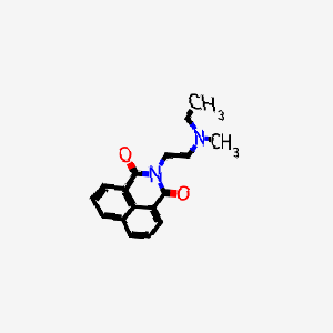 CCN(C)CCN1C(=O)c2cccc3cccc(c23)C1=O